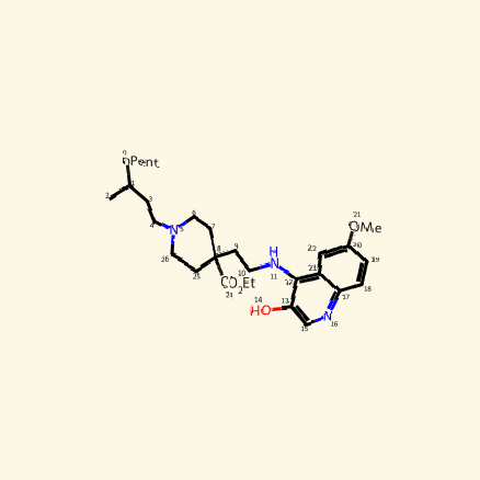 CCCCCC(C)CCN1CCC(CCNc2c(O)cnc3ccc(OC)cc23)(C(=O)OCC)CC1